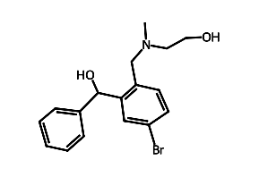 CN(CCO)Cc1ccc(Br)cc1C(O)c1ccccc1